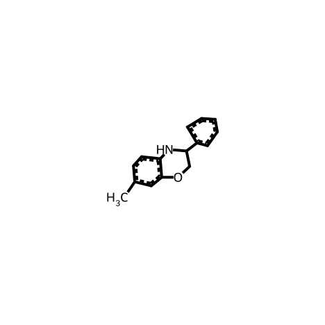 Cc1ccc2c(c1)OCC(c1ccccc1)N2